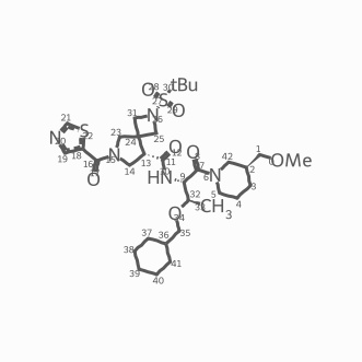 COC[C@H]1CCCN(C(=O)[C@@H](NC(=O)[C@@H]2CN(C(=O)c3cncs3)CC23CN(S(=O)(=O)C(C)(C)C)C3)[C@@H](C)OCC2CCCCC2)C1